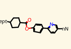 CCCCCCCCCc1ccc(-c2ccc(OC(=O)C3CCC(CCCCCCC)CC3)cc2)nc1